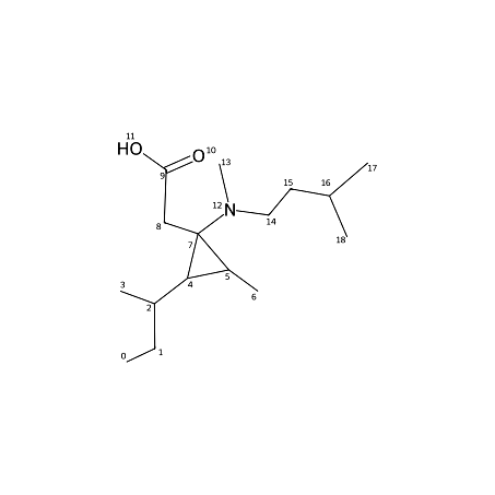 CCC(C)C1C(C)C1(CC(=O)O)N(C)CCC(C)C